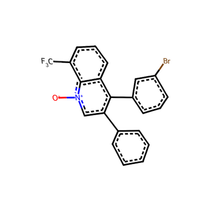 [O-][n+]1cc(-c2ccccc2)c(-c2cccc(Br)c2)c2cccc(C(F)(F)F)c21